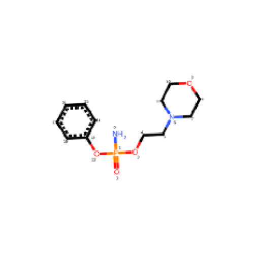 NP(=O)(OCCN1CCOCC1)Oc1ccccc1